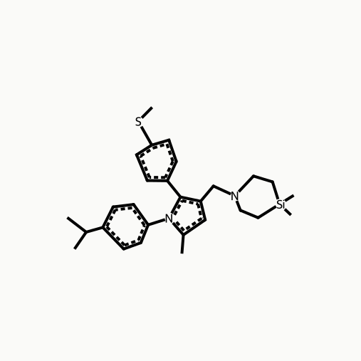 CSc1ccc(-c2c(CN3CC[Si](C)(C)CC3)cc(C)n2-c2ccc(C(C)C)cc2)cc1